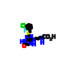 O=C(O)NCCCNc1nc(SCc2cccc(Cl)c2F)nc2[nH]c(=O)cnc12